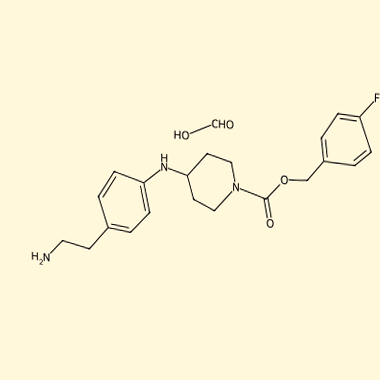 NCCc1ccc(NC2CCN(C(=O)OCc3ccc(F)cc3)CC2)cc1.O=CO